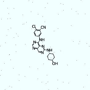 N#Cc1cc(Nc2ncnc3cnc(N[C@H]4CC[C@H](O)CC4)nc23)ccc1Cl